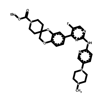 CN1CCN(c2ccc(Nc3ncc(F)c(-c4ccc5c(c4)OC4(CCN(C(=O)OC(C)(C)C)CC4)CO5)n3)nc2)CC1